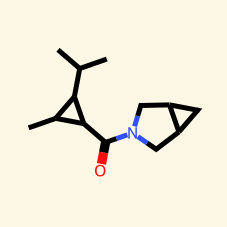 CC(C)C1C(C)C1C(=O)N1CC2CC2C1